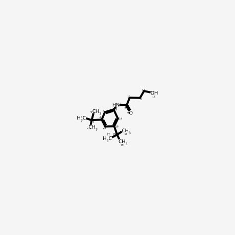 CC(C)(C)c1cc(NC(=O)CCCO)cc(C(C)(C)C)c1